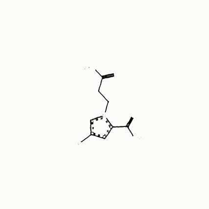 COC(=O)CCn1cc(Br)cc1C(=O)OC